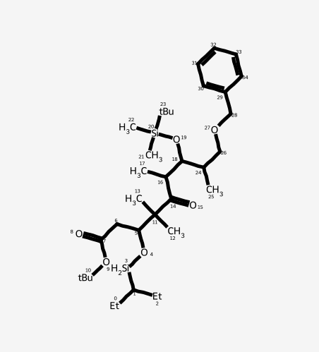 CCC(CC)[SiH2]OC(CC(=O)OC(C)(C)C)C(C)(C)C(=O)C(C)C(O[Si](C)(C)C(C)(C)C)C(C)COCc1ccccc1